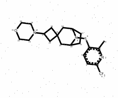 Cc1nc(C(F)(F)F)ccc1SN1C2CCC1CC1(CC(N3CCOCC3)C1)C2